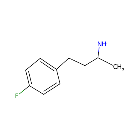 CC([NH])CCc1ccc(F)cc1